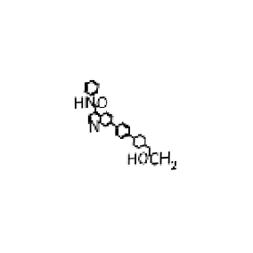 C=C(O)CC1CCC(c2ccc(-c3ccc4c(C(=O)Nc5ccccc5)ccnc4c3)cc2)CC1